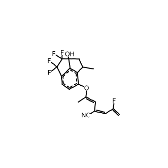 C=C(F)/C=C(C#N)\C=C(/C)Oc1ccc2c3c1C(C)CC3(O)C(F)(F)C2(F)F